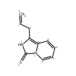 C=CCc1[nH]c(=S)n2ccccc12